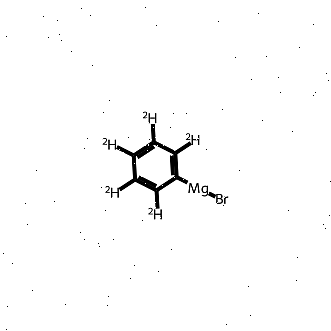 [2H]c1c([2H])c([2H])[c]([Mg][Br])c([2H])c1[2H]